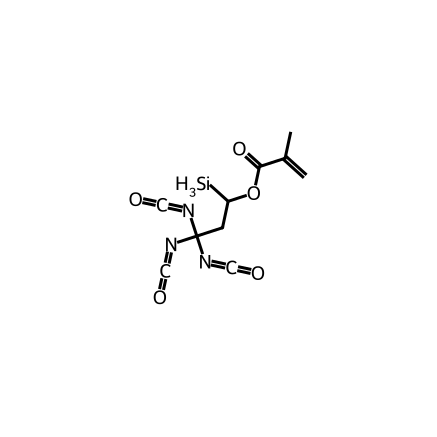 C=C(C)C(=O)OC([SiH3])CC(N=C=O)(N=C=O)N=C=O